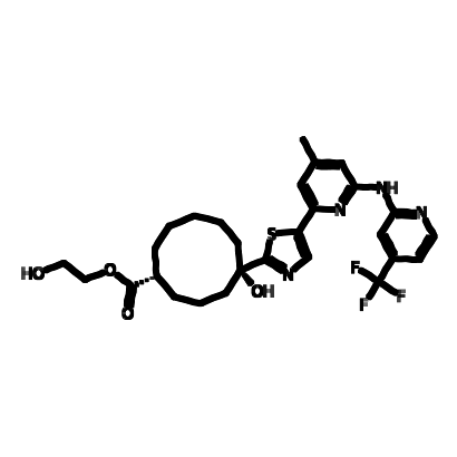 Cc1cc(Nc2cc(C(F)(F)F)ccn2)nc(-c2cnc([C@@]3(O)CCCCC[C@@H](C(=O)OCCO)CCC3)s2)c1